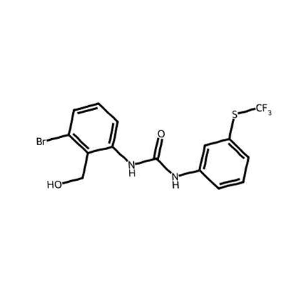 O=C(Nc1cccc(SC(F)(F)F)c1)Nc1cccc(Br)c1CO